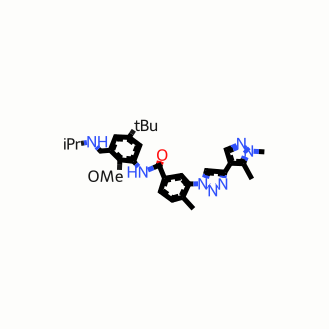 COc1c(CNC(C)C)cc(C(C)(C)C)cc1NC(=O)c1ccc(C)c(-n2cc(-c3cnn(C)c3C)nn2)c1